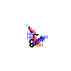 CC[C@H](C)[C@H](NC(=O)COCCF)C(=O)N[C@H]1CCc2cccc3c2N(C1=O)[C@](C(=O)O)(C(=O)NCc1c[nH]nn1)C3